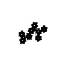 c1ccc(-c2cc(-c3ccccc3)nc(-n3c4ccccc4c4ccc(-c5cccc(-n6c7ccccc7c7ccccc76)c5)cc43)n2)cc1